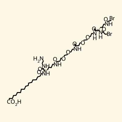 NCCNC(=O)[C@H](CCCCNC(=O)CCOCCOCCNC(=O)CCOCCOCCNC(=O)[C@H](CCCNC(=O)CBr)NC(=O)CBr)NC(=O)CCCCCCCCCCCCCCCCC(=O)O